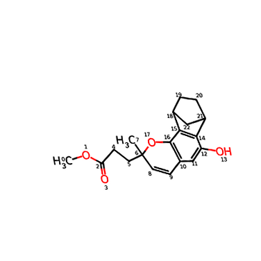 COC(=O)CCC1(C)C=Cc2cc(O)c3c(c2O1)C1CCC3C1